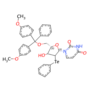 COc1ccc(C(OC[C@@H]2O[C@H](n3ccc(=O)[nH]c3=O)C([Te]c3ccccc3)C2O)(c2ccccc2)c2ccc(OC)cc2)cc1